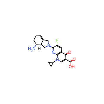 N[C@H]1CCC=C2CN(c3nc4c(cc3F)c(=O)c(C(=O)O)cn4C3CC3)C[C@H]21